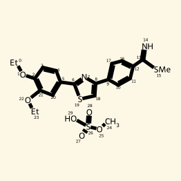 CCOc1ccc(-c2nc(-c3ccc(C(=N)SC)cc3)cs2)cc1OCC.COS(=O)(=O)O